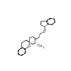 C[C@@H]1C[C@@]2(CCc3ccccc3O2)CCN1CCO[C@H]1CCc2ccccc21